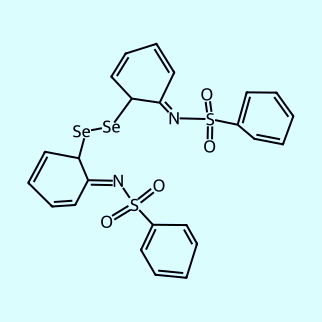 O=S(=O)(N=C1C=CC=CC1[Se][Se]C1C=CC=CC1=NS(=O)(=O)c1ccccc1)c1ccccc1